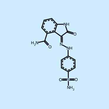 NC(=O)c1cccc2c1/C(=N/Nc1ccc(S(N)(=O)=O)cc1)C(=O)N2